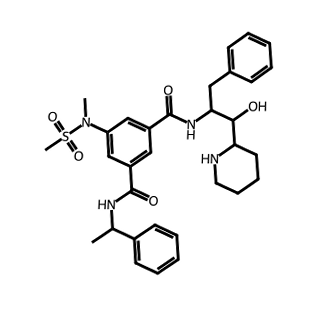 CC(NC(=O)c1cc(C(=O)NC(Cc2ccccc2)C(O)C2CCCCN2)cc(N(C)S(C)(=O)=O)c1)c1ccccc1